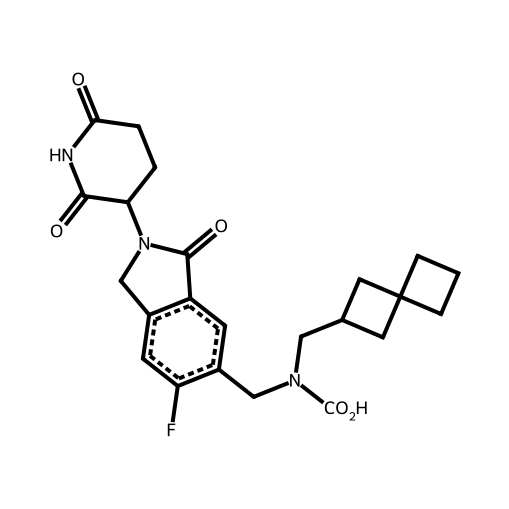 O=C1CCC(N2Cc3cc(F)c(CN(CC4CC5(CCC5)C4)C(=O)O)cc3C2=O)C(=O)N1